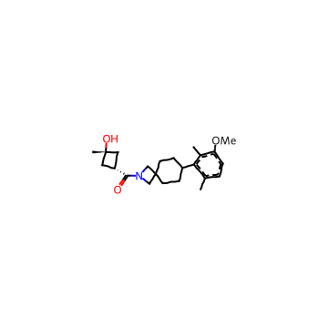 COc1ccc(C)c(C2CCC3(CC2)CN(C(=O)[C@H]2C[C@@](C)(O)C2)C3)c1C